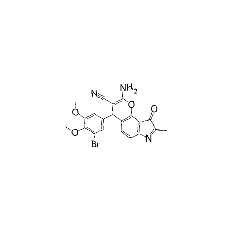 COc1cc(C2C(C#N)=C(N)Oc3c2ccc2c3C(=O)C(C)=N2)cc(Br)c1OC